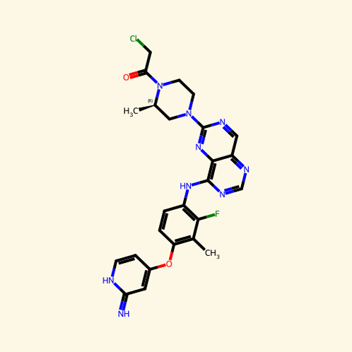 Cc1c(Oc2cc[nH]c(=N)c2)ccc(Nc2ncnc3cnc(N4CCN(C(=O)CCl)[C@H](C)C4)nc23)c1F